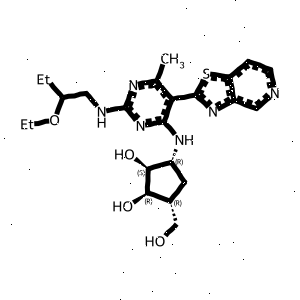 CCOC(CC)CNc1nc(C)c(-c2nc3cnccc3s2)c(N[C@@H]2C[C@H](CO)[C@@H](O)[C@H]2O)n1